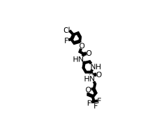 O=C(COc1ccc(Cl)c(F)c1)N[C@H]1CC[C@H](C(=O)NCc2cc(C(F)(F)F)co2)NC1